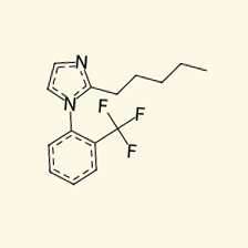 CCCCCc1nccn1-c1ccccc1C(F)(F)F